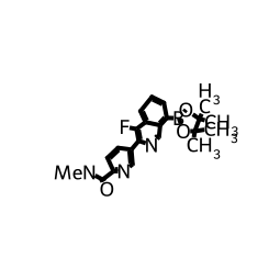 CNC(=O)c1ccc(-c2ncc3c(B4OC(C)(C)C(C)(C)O4)cccc3c2F)cn1